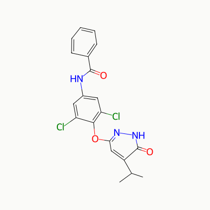 CC(C)c1cc(Oc2c(Cl)cc(NC(=O)c3ccccc3)cc2Cl)n[nH]c1=O